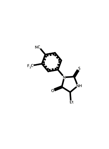 CCC1NC(=S)N(c2ccc(C#N)c(C(F)(F)F)c2)C1=O